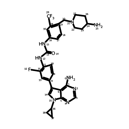 Nc1ncnc2c1c(-c1ccc(NC(=O)Nc3ccc(CN4CCC(N)CC4)c(C(F)(F)F)c3)c(F)c1)cn2C1CC1